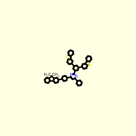 CC1(C)c2ccccc2-c2ccc(-c3ccc(-c4cc(-c5ccccc5)nc(-c5cc(-c6ccc7sc8ccccc8c7c6)cc(-c6ccc7sc8ccccc8c7c6)c5)n4)cc3)cc21